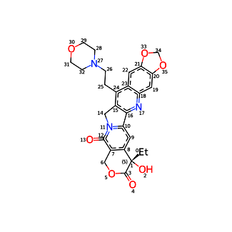 CC[C@@]1(O)C(=O)OCc2c1cc1n(c2=O)Cc2c-1nc1cc3c(cc1c2CCN1CCOCC1)OCO3